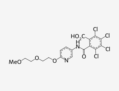 COCCOCCOc1ccc(NC(=O)c2c(Cl)c(Cl)c(Cl)c(Cl)c2C(=O)O)cn1